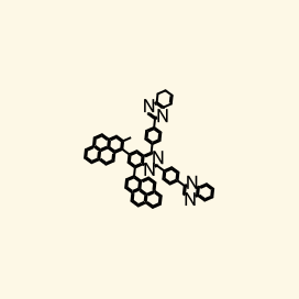 Cc1cc2ccc3cccc4ccc(c1-c1cc(-c5ccc6ccc7cccc8ccc5c6c78)c5nc(-c6ccc(-c7cnc8ccccc8n7)cc6)nc(-c6ccc(-c7cnc8c(n7)C=CCC8)cc6)c5c1)c2c34